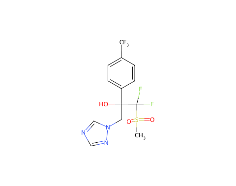 CS(=O)(=O)C(F)(F)C(O)(Cn1cncn1)c1ccc(C(F)(F)F)cc1